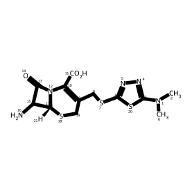 CN(C)c1nnc(SCC2=C(C(=O)O)N3C(=O)C(N)[C@H]3SC2)s1